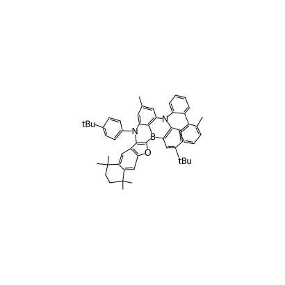 Cc1cc2c3c(c1)N(c1ccc(C(C)(C)C)cc1)c1c(oc4cc5c(cc14)C(C)(C)CCC5(C)C)B3c1cc(C(C)(C)C)ccc1N2c1ccccc1-c1ccccc1C